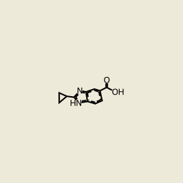 O=C(O)c1ccc2[nH]c(C3CC3)nc2c1